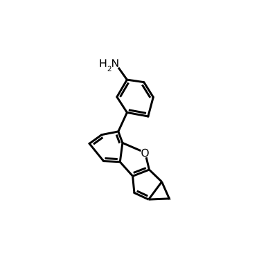 Nc1cccc(-c2cccc3c4c(oc23)C2CC2=C4)c1